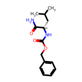 CC(C)C[C@H](NC(=O)OCc1ccccc1)C(N)=O